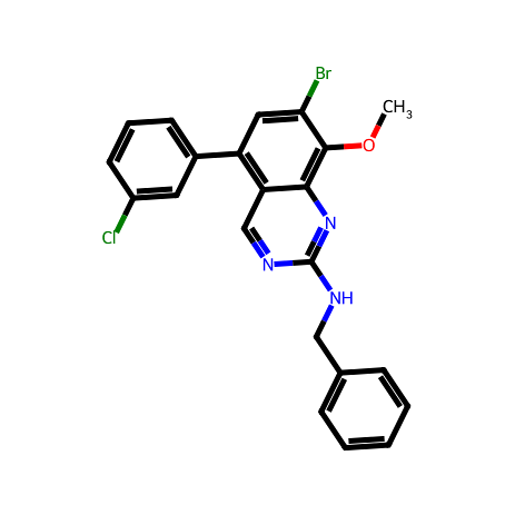 COc1c(Br)cc(-c2cccc(Cl)c2)c2cnc(NCc3ccccc3)nc12